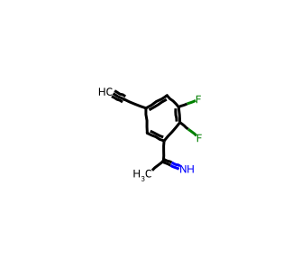 C#Cc1cc(F)c(F)c(C(C)=N)c1